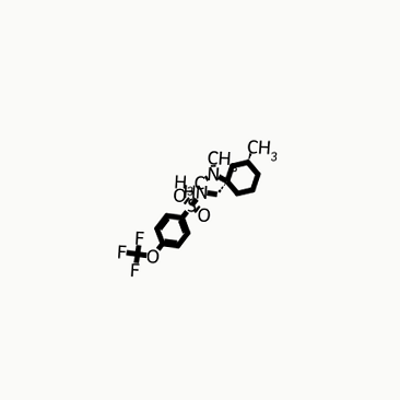 C[C@@H]1CCC[C@@](CNS(=O)(=O)c2ccc(OC(F)(F)F)cc2)(N(C)C)C1